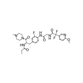 CCC(=O)N[C@@H](C(=O)N1CCN(C)CC1)[C@@H](C)c1ccc(NC(=O)CNC(=O)C(F)(F)c2ccc(OC)nc2)c(F)c1